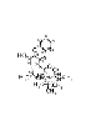 CNC(=O)[C@@H](NC(=O)[C@H](CC(C)C)[C@H](Sc1ccccc1)C(=O)NO)C(C)(C)C